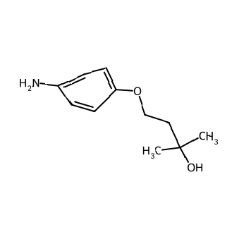 CC(C)(O)CCOc1ccc(N)cc1